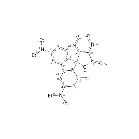 CCN(CC)c1ccc(C2(c3ccc(N(CC)CC)cc3C)OC(=O)c3nccnc32)c(C)c1